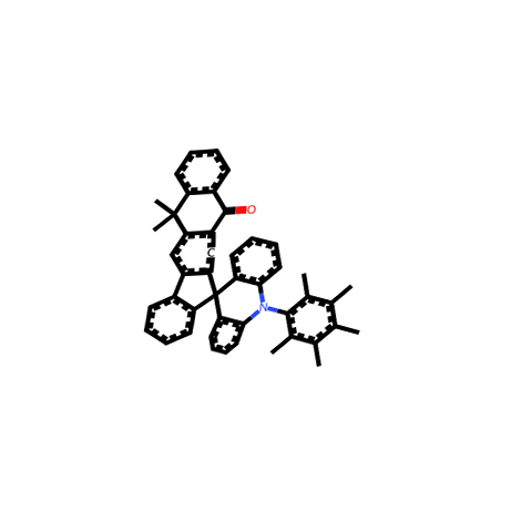 Cc1c(C)c(C)c(N2c3ccccc3C3(c4ccccc4-c4cc5c(cc43)C(=O)c3ccccc3C5(C)C)c3ccccc32)c(C)c1C